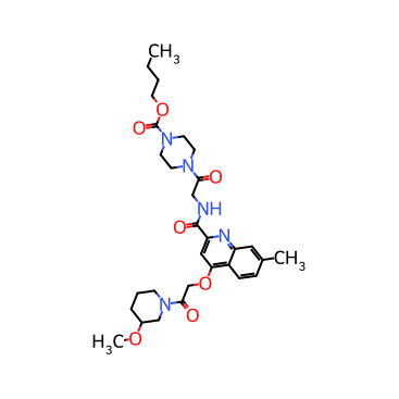 CCCCOC(=O)N1CCN(C(=O)CNC(=O)c2cc(OCC(=O)N3CCCC(OC)C3)c3ccc(C)cc3n2)CC1